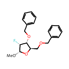 CO[C@H]1O[C@H](COCc2ccccc2)[C@@H](OCc2ccccc2)[C@H]1F